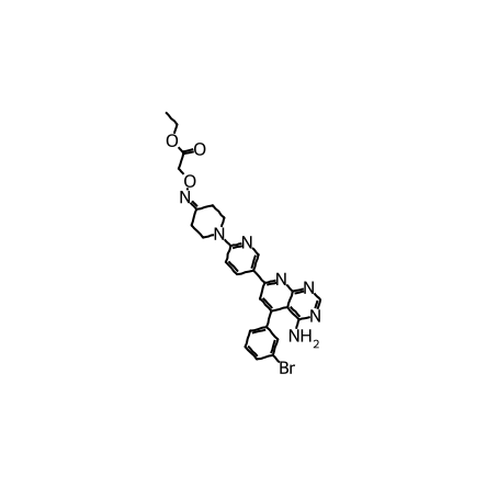 CCOC(=O)CON=C1CCN(c2ccc(-c3cc(-c4cccc(Br)c4)c4c(N)ncnc4n3)cn2)CC1